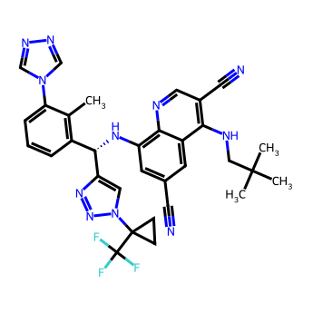 Cc1c([C@H](Nc2cc(C#N)cc3c(NCC(C)(C)C)c(C#N)cnc23)c2cn(C3(C(F)(F)F)CC3)nn2)cccc1-n1cnnc1